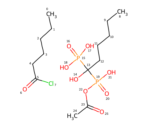 CCCCCC(=O)Cl.CCCCCC(O)(P(=O)(O)O)P(=O)(O)OC(C)=O